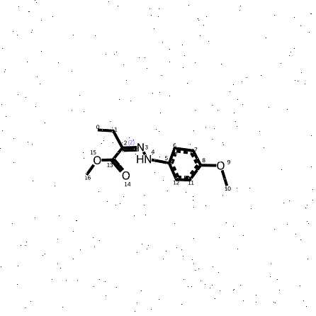 CC/C(=N/Nc1ccc(OC)cc1)C(=O)OC